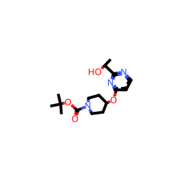 CC(O)c1nccc(OC2CCN(C(=O)OC(C)(C)C)CC2)n1